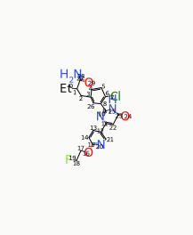 CCC(Cc1ccc(Cl)c(-c2nc(-c3ccc(OCCF)nc3)cc(=O)[nH]2)c1)C(N)=O